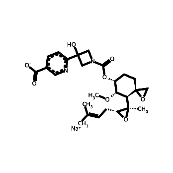 CO[C@@H]1[C@H](OC(=O)N2CC(O)(c3ccc(C(=O)[O-])cn3)C2)CC[C@]2(CO2)[C@H]1[C@@]1(C)O[C@@H]1CC=C(C)C.[Na+]